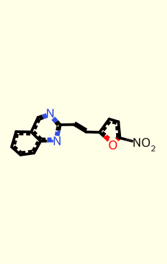 O=[N+]([O-])c1ccc(C=Cc2ncc3ccccc3n2)o1